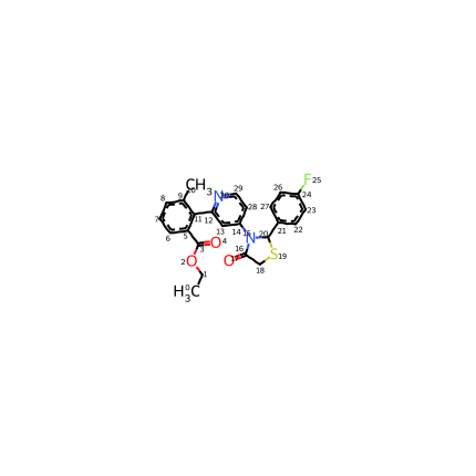 CCOC(=O)c1cccc(C)c1-c1cc(N2C(=O)CSC2c2ccc(F)cc2)ccn1